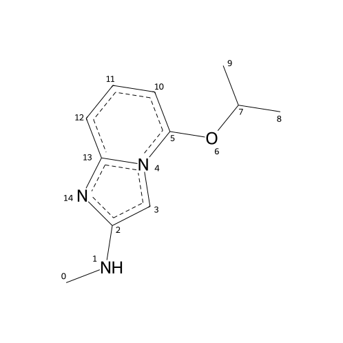 CNc1cn2c(OC(C)C)cccc2n1